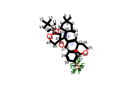 C=C1CC(C)(C)C[C@H](O[Si](C)(C)C(C)(C)C)/C1=C1/C(=C(\C)C2CCOCC2)[C@@H](c2ccc(S(F)(F)(F)(F)F)cc2)OC12CCOCC2